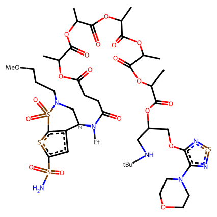 CCN(C(=O)CCC(=O)OC(C)C(=O)OC(C)C(=O)OC(C)C(=O)OC(C)C(=O)OC(C)C(=O)OC(CNC(C)(C)C)COc1nsnc1N1CCOCC1)[C@@H]1CN(CCCOC)S(=O)(=O)c2sc(S(N)(=O)=O)cc21